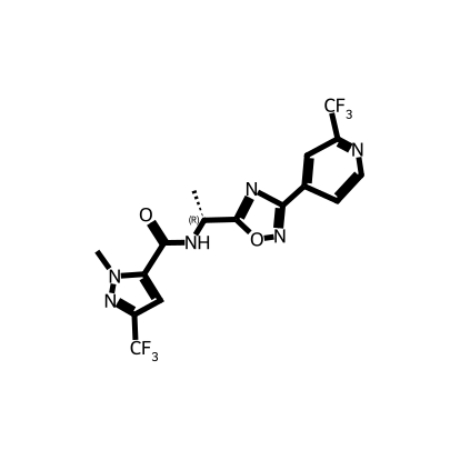 C[C@@H](NC(=O)c1cc(C(F)(F)F)nn1C)c1nc(-c2ccnc(C(F)(F)F)c2)no1